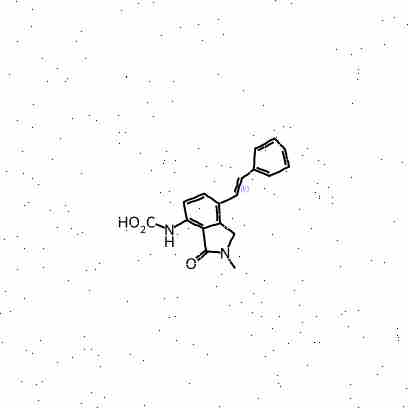 CN1Cc2c(/C=C/c3ccccc3)ccc(NC(=O)O)c2C1=O